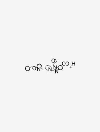 O=C(O)c1ccc2nc(CN3CCC[C@@H](Cc4cccc(OCc5ccccc5)n4)C3)n(C[C@@H]3CCO3)c2c1